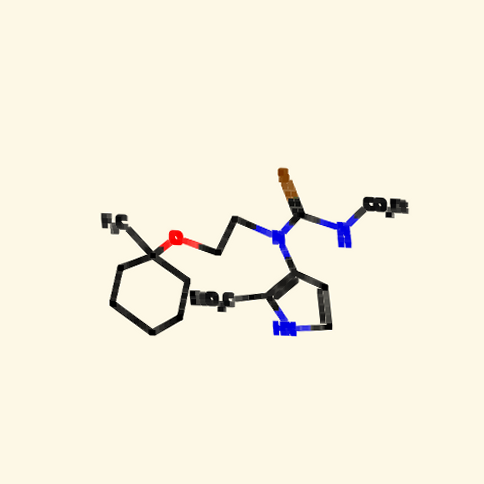 CCOC(=O)NC(=S)N(CCOC1(C(F)(F)F)CCCCC1)c1cc[nH]c1C(=O)OCC